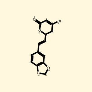 O=C1C=C(O)CC(C=Cc2ccc3c(c2)OCO3)O1